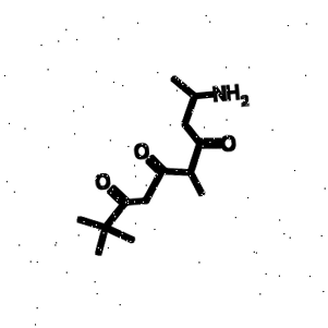 CC(N)CC(=O)C(C)C(=O)CC(=O)C(C)(C)C